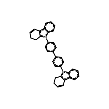 C1=Cc2c(n(-c3ccc(-c4ccc(-n5c6c(c7ccccc75)C=CCC6)cc4)cc3)c3ccccc23)CC1